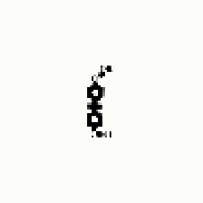 CC(C)COc1ccc(C(C)(C)c2ccc(OCC(C)(C)C)cc2)cc1